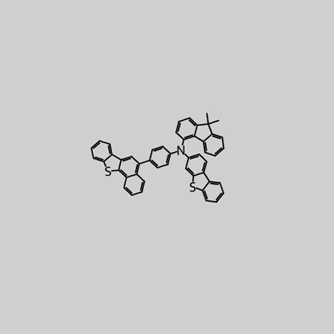 CC1(C)c2ccccc2-c2c(N(c3ccc(-c4cc5c6ccccc6sc5c5ccccc45)cc3)c3ccc4c(c3)sc3ccccc34)cccc21